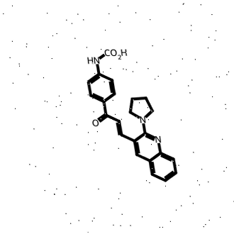 O=C(O)Nc1ccc(C(=O)C=Cc2cc3ccccc3nc2N2CCCC2)cc1